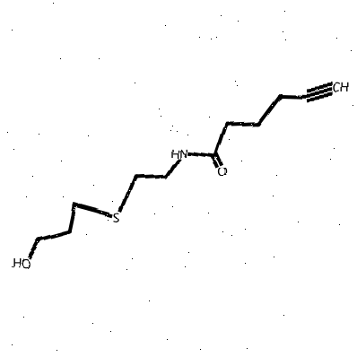 C#CCCCC(=O)NCCSCCCO